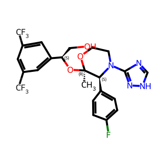 C[C@]1(O[C@H](CO)c2cc(C(F)(F)F)cc(C(F)(F)F)c2)OCCN(c2nc[nH]n2)[C@H]1c1ccc(F)cc1